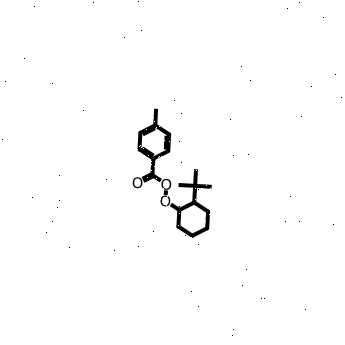 Cc1ccc(C(=O)OO[C]2CCCCC2C(C)(C)C)cc1